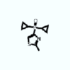 Cc1nc(P(=O)(C2CC2)C2CC2)cs1